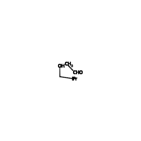 CC(C)CO.CC=O